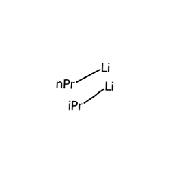 [Li][CH2]CC.[Li][CH](C)C